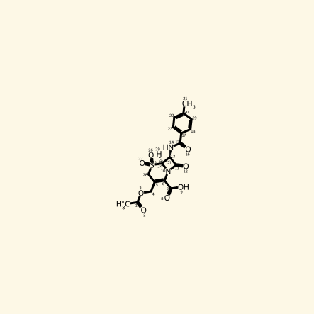 CC(=O)OCC1=C(C(=O)O)N2C(=O)[C@H](NC(=O)c3ccc(C)cc3)[C@@H]2S(=O)(=O)C1